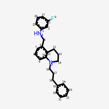 Fc1[c]c(NCc2cccc3c2CCCN3CCCc2ccccc2)ccc1